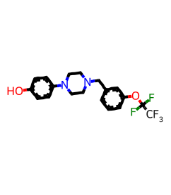 Oc1ccc(N2CCN(Cc3cccc(OC(F)(F)C(F)(F)F)c3)CC2)cc1